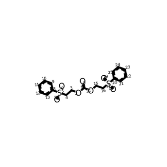 O=C(OCCS(=O)(=O)c1ccccc1)OCCS(=O)(=O)c1ccccc1